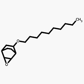 CCCCCCCCCCOC1CC2CCC1C1OC21